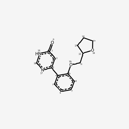 O=c1cc(-c2ccccc2OCC2CCCO2)nc[nH]1